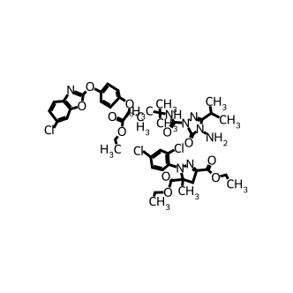 CC(C)c1nn(C(=O)NC(C)(C)C)c(=O)n1N.CCOC(=O)C1=NN(c2ccc(Cl)cc2Cl)C(C)(C(=O)OCC)C1.CCOC(=O)[C@@H](C)Oc1ccc(Oc2nc3ccc(Cl)cc3o2)cc1